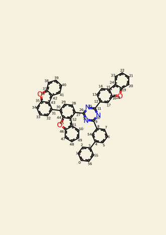 c1ccc(-c2cccc(-c3nc(-c4ccc5c(c4)oc4ccccc45)nc(-c4ccc(-c5cccc6oc7ccccc7c56)c5oc6ccccc6c45)n3)c2)cc1